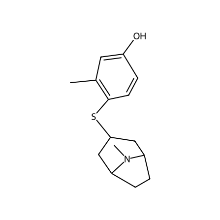 Cc1cc(O)ccc1SC1CC2CCC(C1)N2C